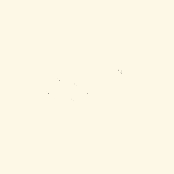 Cn1c(-n2c3ccccc3c3cc4c(cc32)c2ccccc2n4C2=CC=CCC2)nc2nc(-c3ccccc3)nc(-c3ccccc3)c21